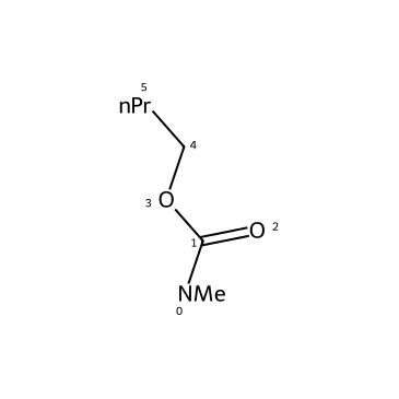 [CH2]NC(=O)OCCCC